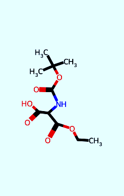 CCOC(=O)C(NC(=O)OC(C)(C)C)C(=O)O